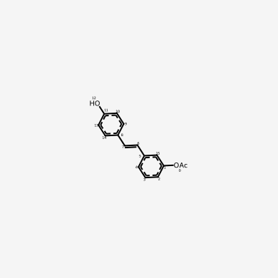 CC(=O)Oc1cccc(/C=C/c2ccc(O)cc2)c1